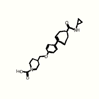 O=C(NC1CC1)C1CC=C(c2ccc(OCC3CCN(C(=O)O)CC3)cc2)CC1